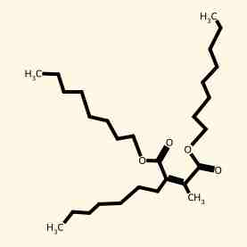 CCCCCCCCOC(=O)C(C)=C(CCCCCCC)C(=O)OCCCCCCCC